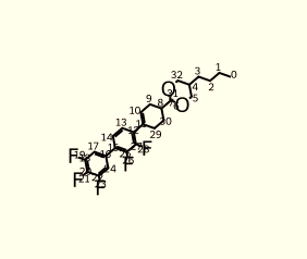 CCCCC1COC(C2CC=C(c3ccc(-c4cc(F)c(F)c(F)c4)c(F)c3F)CC2)OC1